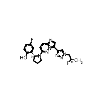 C[C@@H](F)Cn1cc(-c2cnc3ccc(N4CCC[C@@H]4c4cc(F)ccc4O)nn23)nn1